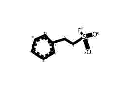 O=S(=O)(F)CCc1ccccc1